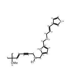 CCN(CC#C/C=C/C(C)(C)OC)Cc1ccc(COC/C=C/c2ccsc2)o1